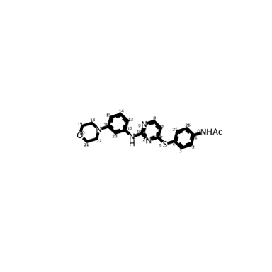 CC(=O)Nc1ccc(Sc2ccnc(Nc3cccc(N4CCOCC4)c3)n2)cc1